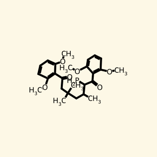 COc1cccc(OC)c1C(=O)CC(C)(C)CC(C)C(P)C(=O)c1c(OC)cccc1OC